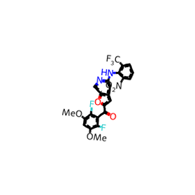 COc1cc(OC)c(F)c(C(=O)c2cc3cc(Nc4c([N+](=O)[O-])cccc4C(F)(F)F)ncc3o2)c1F